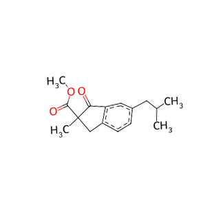 COC(=O)C1(C)Cc2ccc(CC(C)C)cc2C1=O